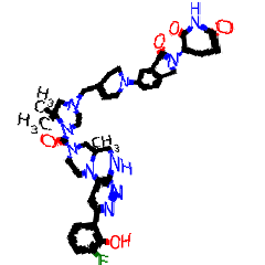 CC1(C)CN(CC2CCN(c3ccc4c(c3)C(=O)N([C@@H]3CCC(=O)NC3=O)C4)CC2)CCN1C(=O)N1CCN2c3cc(-c4cccc(F)c4O)nnc3NC[C@]2(C)C1